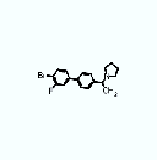 CC(c1ccc(-c2ccc(Br)c(F)c2)cc1)N1CCCC1